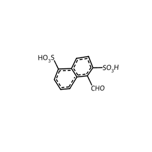 O=Cc1c(S(=O)(=O)O)ccc2c(S(=O)(=O)O)cccc12